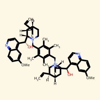 C=C[C@H]1C[N@+]2(Cc3c(C)c(C)c(C[N@@+]45CC[C@@H](C[C@H]4[C@H](O)c4ccnc6ccc(OC)cc46)[C@@H](C=C)C5)c(C)c3C)CC[C@H]1C[C@H]2[C@H](O)c1ccnc2ccc(OC)cc12